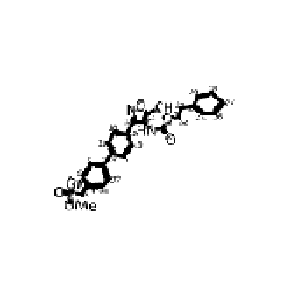 COP(=O)(Cc1ccc(-c2ccc(-c3noc(C)c3NC(=O)OCCc3ccccc3)cc2)cc1)OC